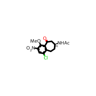 COc1c([N+](=O)[O-])cc(Cl)c2c1C(=O)C[C@@H](NC(C)=O)CC2